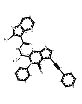 C[C@H](NC(=O)c1c(N)nn2cccnc12)c1nc2occ(C#Cc3ccncc3)c2c(=O)n1-c1ccccc1